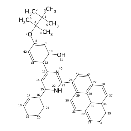 CC(C)(C)C(C)(C)OC1=CC(O)C(C2=CC(C3C=CCCC3)NC(c3ccc4c5c3C=CC3=CCCC(C=C4)C35)=N2)C=C1